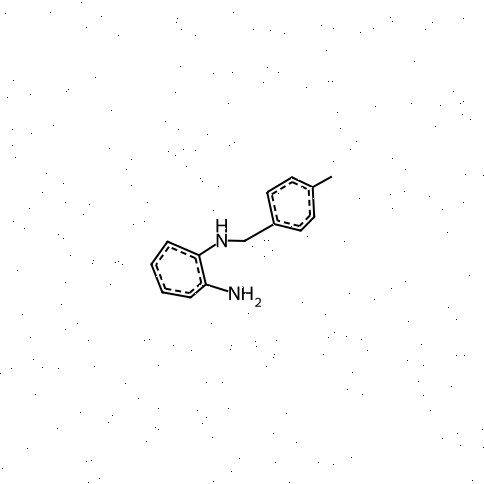 Cc1ccc(CNc2ccccc2N)cc1